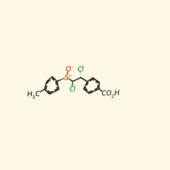 Cc1ccc([S+]([O-])[C@H](Cl)[C@H](Cl)c2ccc(C(=O)O)cc2)cc1